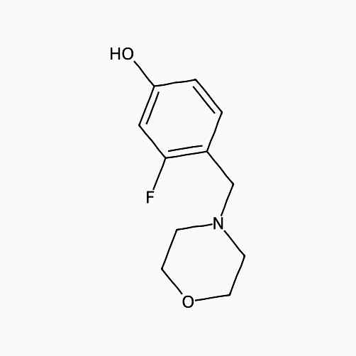 Oc1ccc(CN2CCOCC2)c(F)c1